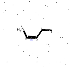 CC/C=[C]\N